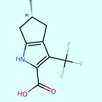 C[C@H]1Cc2[nH]c(C(=O)O)c(C(F)(F)F)c2C1